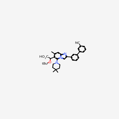 Cc1cc2nc(-c3cccc(-c4cccc(C#N)c4)c3)cn2c(N2CCC(C)(C)CC2)c1C(OC(C)(C)C)C(=O)O